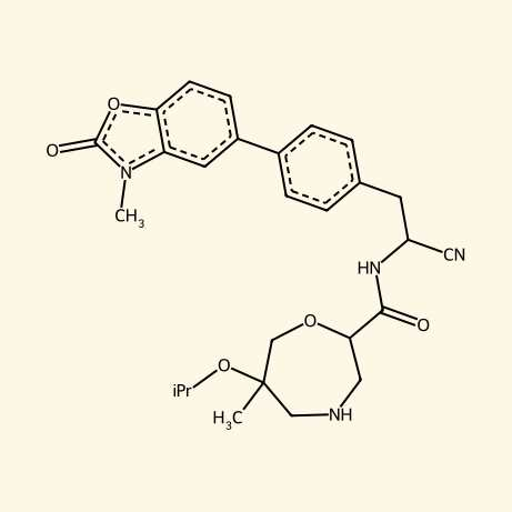 CC(C)OC1(C)CNCC(C(=O)NC(C#N)Cc2ccc(-c3ccc4oc(=O)n(C)c4c3)cc2)OC1